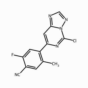 Cc1cc(C#N)c(F)cc1-c1cc2ncnn2c(Cl)n1